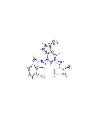 CC(C)[C@H](CO)Nc1nc(NCc2c(N)cccc2Cl)c2nnn(C)c2n1